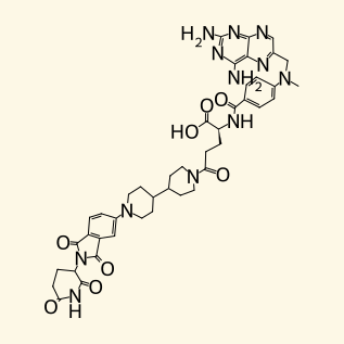 CN(Cc1cnc2nc(N)nc(N)c2n1)c1ccc(C(=O)N[C@@H](CCC(=O)N2CCC(C3CCN(c4ccc5c(c4)C(=O)N(C4CCC(=O)NC4=O)C5=O)CC3)CC2)C(=O)O)cc1